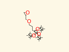 C[Si](C)(C)O[Si](CCCOCC1CO1)(O[Si](C)(C)C)O[Si](C)(C)C